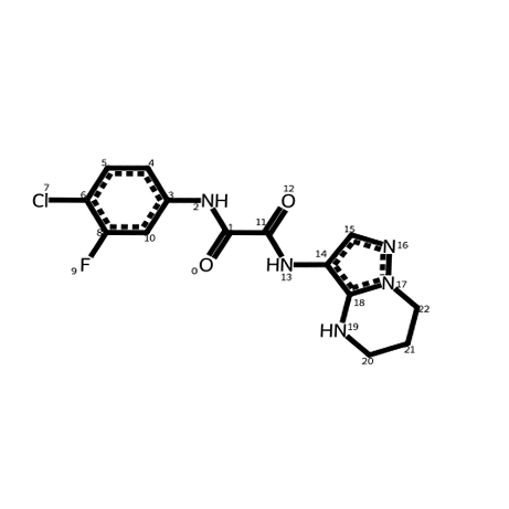 O=C(Nc1ccc(Cl)c(F)c1)C(=O)Nc1cnn2c1NCCC2